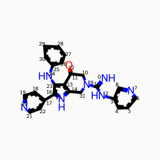 N=C(Nc1cccnc1)N1CC(=O)c2c([nH]c(-c3ccncc3)c2Nc2ccccc2)C1